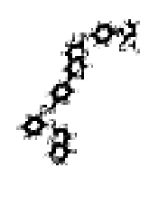 Cc1ccnn1-c1ccc(Nc2ccc3cc(-c4ccc(COc5ccccc5Oc5ccc6ccncc6n5)cc4)ncc3n2)cc1